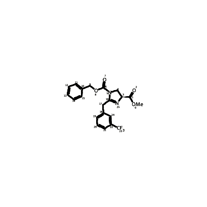 COC(=O)[C@@H]1CN(C(=O)OCc2ccccc2)C(Cc2cccc(C(F)(F)F)c2)=N1